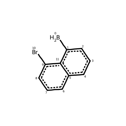 Bc1cccc2cccc(Br)c12